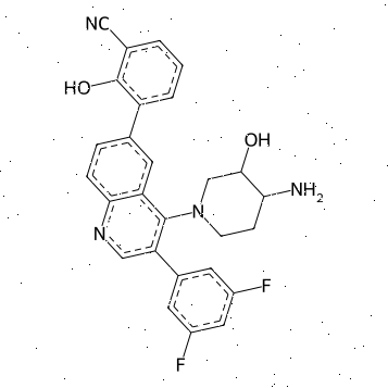 N#Cc1cccc(-c2ccc3ncc(-c4cc(F)cc(F)c4)c(N4CCC(N)C(O)C4)c3c2)c1O